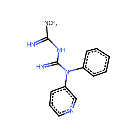 N=C(NC(=N)N(c1ccccc1)c1cccnc1)NC(F)(F)F